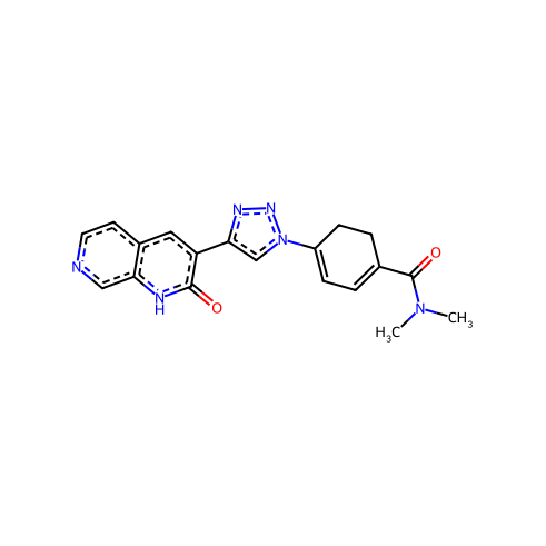 CN(C)C(=O)C1=CC=C(n2cc(-c3cc4ccncc4[nH]c3=O)nn2)CC1